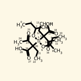 CCC(C)[O][Ti]([O]C(C)CC)([C](CC)(C(C)=O)C(=O)O)[C](CC)(C(C)=O)C(=O)O